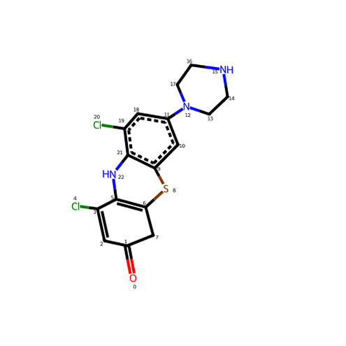 O=C1C=C(Cl)C2=C(C1)Sc1cc(N3CCNCC3)cc(Cl)c1N2